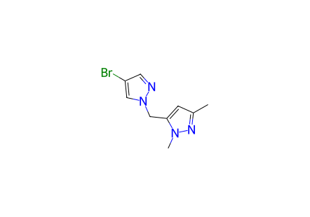 Cc1cc(Cn2cc(Br)cn2)n(C)n1